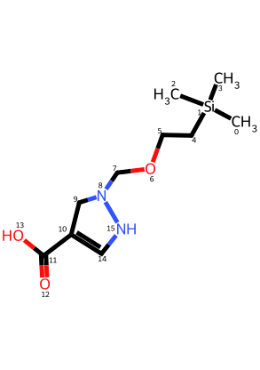 C[Si](C)(C)CCOCN1CC(C(=O)O)=CN1